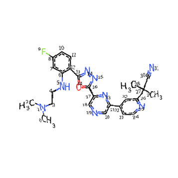 CN(C)CCNc1cc(F)ccc1-c1nnc(-c2cncc(-c3ccnc(C(C)(C)C#N)c3)n2)o1